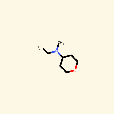 [CH2]CN(C)C1CCOCC1